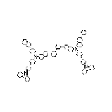 c1ccc(-c2ccc3cc(N(c4ccc(-c5ccc(-n6c7ccccc7c7ccccc76)cc5)cc4)c4ccc5cc(-c6cccc(-c7cccc(-c8ccc9cc(N(c%10ccc(-c%11ccc(-n%12c%13ccccc%13c%13ccccc%13%12)cc%11)cc%10)c%10ccc(-c%11ccc%12ccccc%12c%11)cc%10)ccc9c8)c7)c6)ccc5c4)ccc3c2)cc1